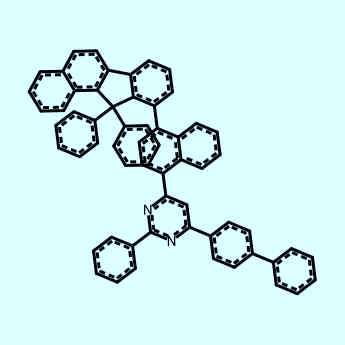 c1ccc(-c2ccc(-c3cc(-c4ccc(-c5cccc6c5C(c5ccccc5)(c5ccccc5)c5c-6ccc6ccccc56)c5ccccc45)nc(-c4ccccc4)n3)cc2)cc1